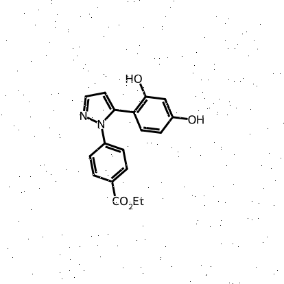 CCOC(=O)c1ccc(-n2nccc2-c2ccc(O)cc2O)cc1